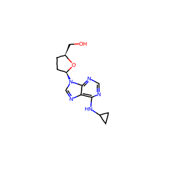 OC[C@@H]1CC[C@H](n2cnc3c(NC4CC4)ncnc32)O1